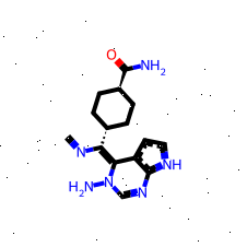 C=N/C(=C1/c2cc[nH]c2N=CN1N)[C@H]1CC[C@H](C(N)=O)CC1